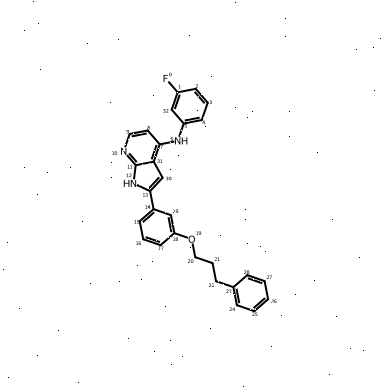 Fc1cccc(Nc2ccnc3[nH]c(-c4cccc(OCCCc5ccccc5)c4)cc23)c1